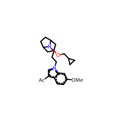 COc1ccc2c(C(C)=O)cn(CCCN3C4CCC3CC(OCC3CC3)C4)c2c1